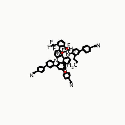 C=CCc1cc(-c2ccc(C#N)cc2)ccc1N(c1ccc(C#N)cc1-c1cc(-c2c(C(F)(F)F)cccc2C(F)(F)F)ccc1-n1c2ccc(-c3ccc(C#N)cc3)cc2c2cc(-c3ccc(C#N)cc3)ccc21)C(C)C#N